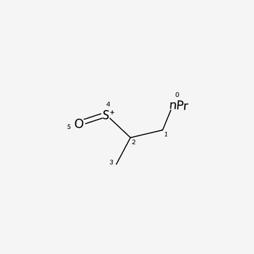 CCCCC(C)[S+]=O